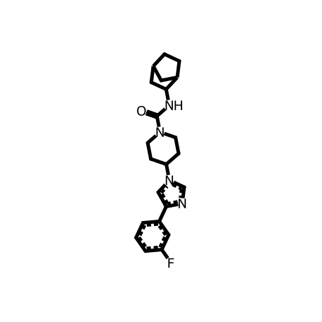 O=C(NC1CC2CCC1C2)N1CCC(n2cnc(-c3cccc(F)c3)c2)CC1